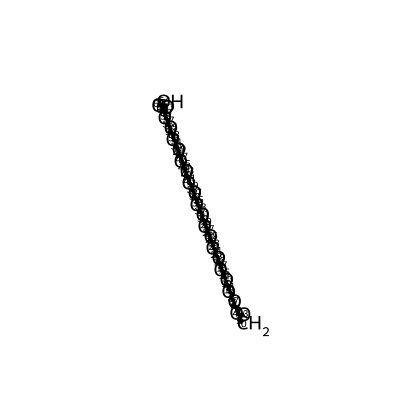 C=CC(=O)OCCOCCOCCOCCOCCOCCOCCOCCOCCOCCOCCOCCOCCOCCOCCOCCOCCOCCOCCS(=O)(=O)O